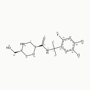 CC(C)(NC(=O)[C@@H]1CN[C@H](CO)CO1)c1cc(Cl)c(Cl)cc1F